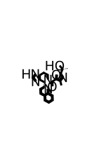 Cc1nc([C@@H](C)O)oc1C(=O)N1CCc2[nH]cnc2[C@H]1c1ccc2ccccc2n1